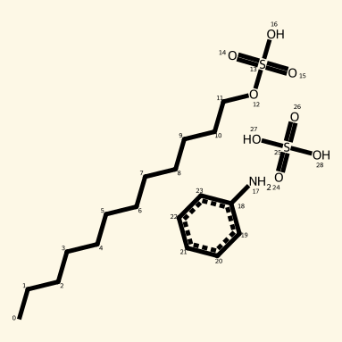 CCCCCCCCCCCCOS(=O)(=O)O.Nc1ccccc1.O=S(=O)(O)O